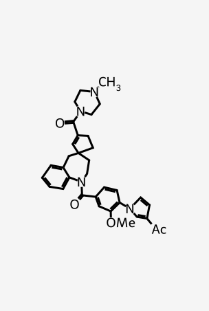 COc1cc(C(=O)N2CCC3(C=C(C(=O)N4CCN(C)CC4)CC3)Cc3ccccc32)ccc1-n1ccc(C(C)=O)c1